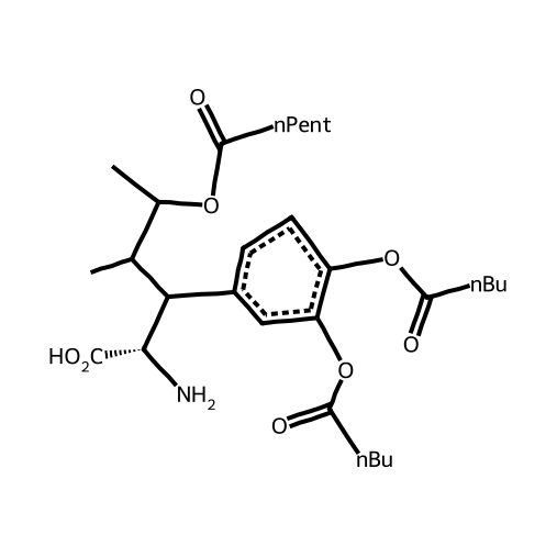 CCCCCC(=O)OC(C)C(C)C(c1ccc(OC(=O)CCCC)c(OC(=O)CCCC)c1)[C@H](N)C(=O)O